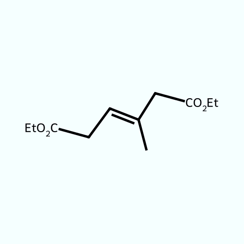 CCOC(=O)C/C=C(\C)CC(=O)OCC